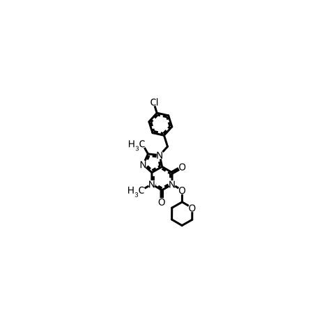 Cc1nc2c(c(=O)n(OC3CCCCO3)c(=O)n2C)n1Cc1ccc(Cl)cc1